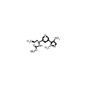 C=CC[C@H](NC(=O)OC(C)(C)C)c1cncc(-c2c([N+](=O)[O-])cnn2C)c1